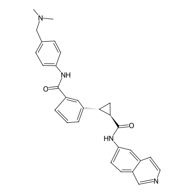 CN(C)Cc1ccc(NC(=O)c2cccc([C@@H]3C[C@H]3C(=O)Nc3ccc4cnccc4c3)c2)cc1